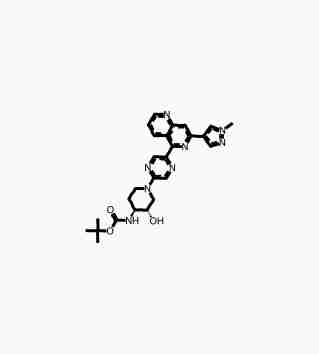 Cn1cc(-c2cc3ncccc3c(-c3cnc(N4CC[C@H](NC(=O)OC(C)(C)C)[C@@H](O)C4)cn3)n2)cn1